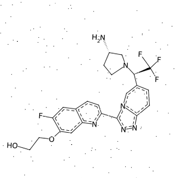 N[C@H]1CCN([C@H](c2ccc3nnc(-c4ccc5cc(F)c(OCCO)cc5n4)n3c2)C(F)(F)F)C1